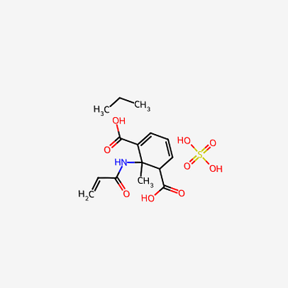 C=CC(=O)NC1(C)C(C(=O)O)=CC=CC1C(=O)O.CCC.O=S(=O)(O)O